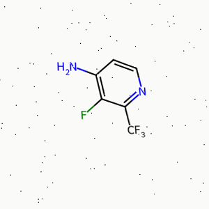 Nc1ccnc(C(F)(F)F)c1F